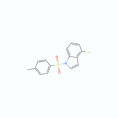 Cc1ccc(S(=O)(=O)n2ccc3c(F)cccc32)cc1